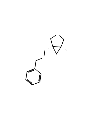 c1ccc(COC[C@]23COC[C@H]2C3)cc1